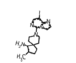 CC1CCC2(CCN(c3ncc(I)c4nccn34)CC2)[C@@H]1N